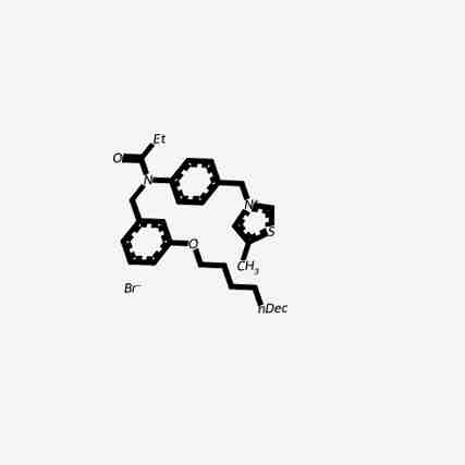 CCCCCCCCCCCCCCOc1cccc(CN(C(=O)CC)c2ccc(C[n+]3csc(C)c3)cc2)c1.[Br-]